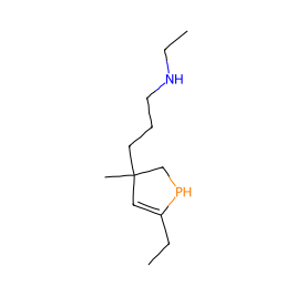 CCNCCCC1(C)C=C(CC)PC1